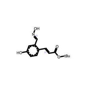 CC(C)(C)OC(=O)/C=C/c1ccc(O)cc1/C=N/O